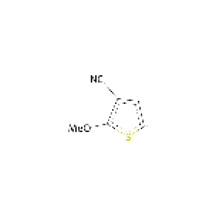 COc1s[c]cc1C#N